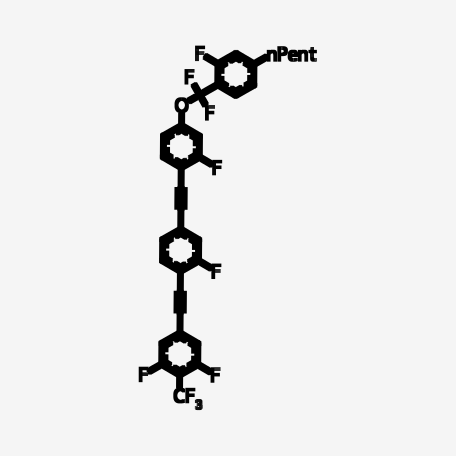 CCCCCc1ccc(C(F)(F)Oc2ccc(C#Cc3ccc(C#Cc4cc(F)c(C(F)(F)F)c(F)c4)c(F)c3)c(F)c2)c(F)c1